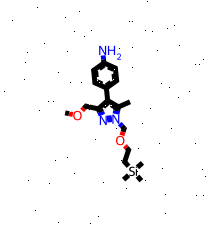 COCc1nn(COCC[Si](C)(C)C)c(C)c1-c1ccc(N)cc1